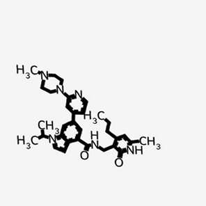 CCCc1cc(C)[nH]c(=O)c1CNC(=O)c1cc(-c2ccnc(N3CCN(C)CC3)c2)cc2c1ccn2C(C)C